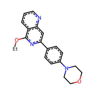 CCOc1nc(-c2ccc(N3CCOCC3)cc2)cc2ncccc12